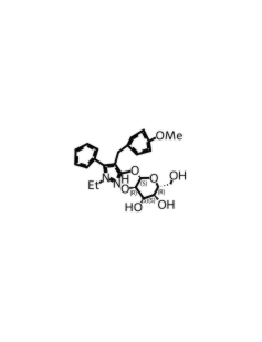 CCn1nc(O[C@@H]2O[C@H](CO)[C@@H](O)[C@H](O)[C@H]2O)c(Cc2ccc(OC)cc2)c1-c1ccccc1